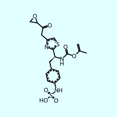 C=C(C)OC(=O)N[C@@H](Cc1ccc(NS(=O)(=O)O)cc1)c1nc(CC(=O)C2CO2)cs1